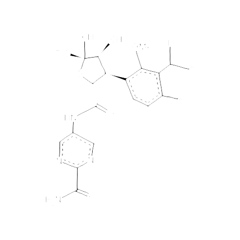 COc1c([C@H]2[C@H](C(=O)Nc3cnc(C(N)=O)nc3)O[C@@](C)(C(F)(F)F)[C@H]2C)ccc(F)c1C(F)F